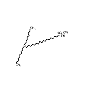 CCCCCCCCCCN(CCCCCCCCCC)CCCCCCCCCCCCCCCCCCOP(=O)(O)O